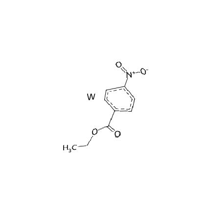 CCOC(=O)c1ccc([N+](=O)[O-])cc1.[W]